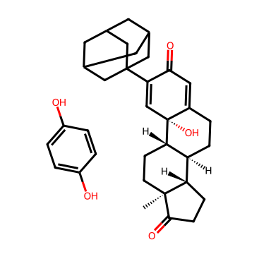 C[C@]12CC[C@H]3[C@@H](CCC4=CC(=O)C(C56CC7CC(CC(C7)C5)C6)=C[C@@]43O)[C@@H]1CCC2=O.Oc1ccc(O)cc1